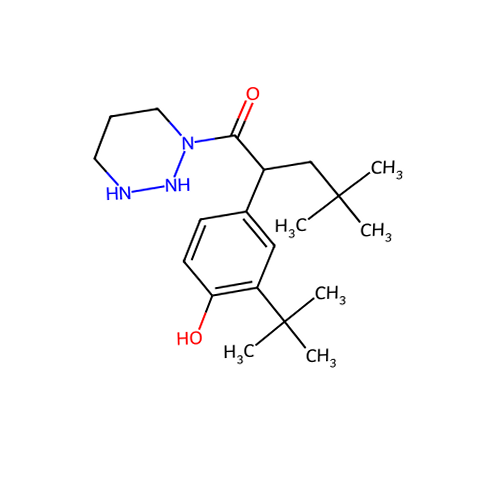 CC(C)(C)CC(C(=O)N1CCCNN1)c1ccc(O)c(C(C)(C)C)c1